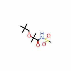 CC(C)(C)COC(C)(C)C(=O)NS(C)(=O)=O